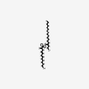 CCCCCCCCCCCCCCC(CCC)COC(=O)C(C)CCCCCCCCCCC